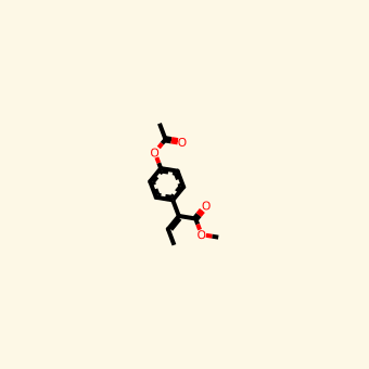 CC=C(C(=O)OC)c1ccc(OC(C)=O)cc1